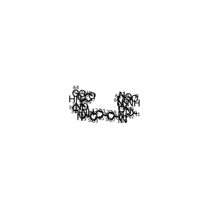 COC(=O)NC(C(=O)N1CC(C)C[C@H]1c1ncc(-c2ccc(-c3ccc4cc(-c5cnc([C@@H]6CCCN6C(=O)[C@@H](NC(=O)OC)C6CCOCC6)[nH]5)ccc4c3)cc2)[nH]1)c1cnccn1